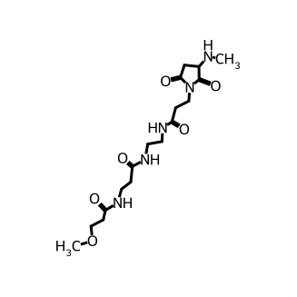 CNC1CC(=O)N(CCC(=O)NCCNC(=O)CCNC(=O)CCOC)C1=O